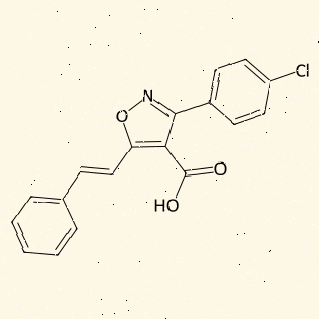 O=C(O)c1c(-c2ccc(Cl)cc2)noc1/C=C/c1ccccc1